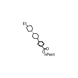 CCCCCOC(=O)c1ccc(C2CCC([C@H]3CC[C@H](CC)CC3)CC2)cc1